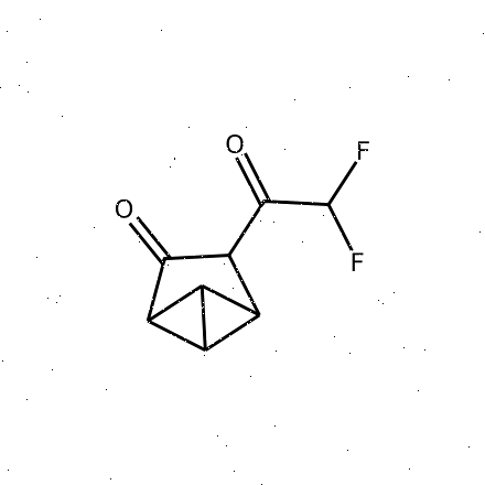 O=C(C(F)F)C1C(=O)C2C3C1C23